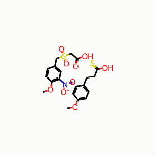 COc1ccc(CCC(O)=S)cc1.COc1ccc(CS(=O)(=O)CC(=O)O)cc1[N+](=O)[O-]